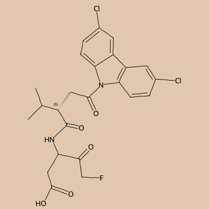 CC(C)[C@H](CC(=O)n1c2ccc(Cl)cc2c2cc(Cl)ccc21)C(=O)NC(CC(=O)O)C(=O)CF